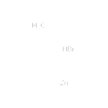 Br.CCC=[CH][Zn]